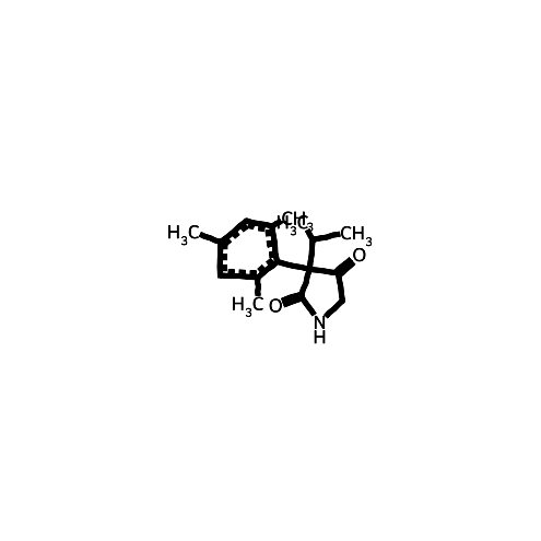 Cc1cc(C)c(C2(C(C)C)C(=O)CNC2=O)c(C)c1